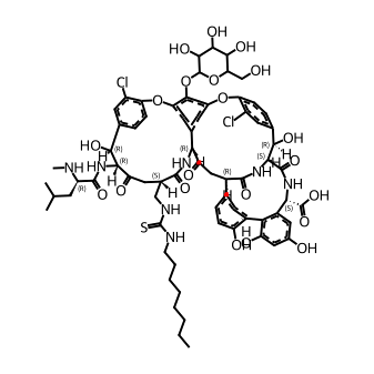 CCCCCCCCNC(=S)NC[C@@H]1CC(=O)[C@H](NC(=O)[C@@H](CC(C)C)NC)[C@H](O)c2ccc(c(Cl)c2)Oc2cc3cc(c2OC2OC(CO)C(O)C(O)C2O)Oc2ccc(cc2Cl)[C@@H](O)[C@@H]2NC(=O)[C@H](CC(=O)[C@@H]3NC1=O)c1ccc(O)c(c1)-c1c(O)cc(O)cc1[C@@H](C(=O)O)NC2=O